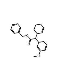 COC1=CC(C(C(=O)OCc2ccccc2)C2C=CCCC2)CC=C1